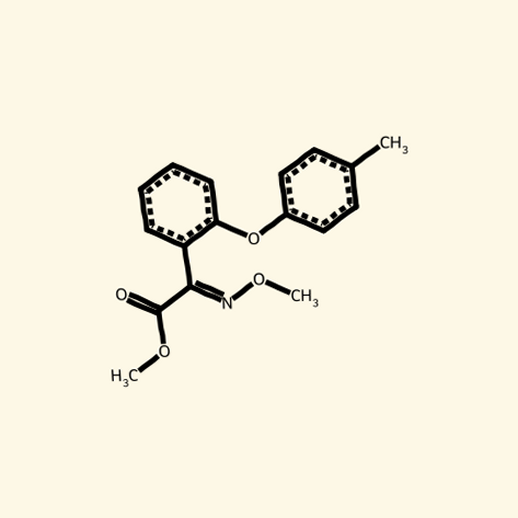 CO/N=C(/C(=O)OC)c1ccccc1Oc1ccc(C)cc1